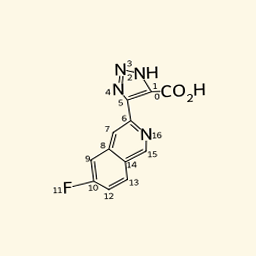 O=C(O)c1[nH]nnc1-c1cc2cc(F)ccc2cn1